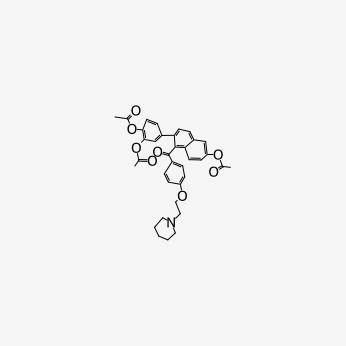 CC(=O)Oc1ccc2c(C(=O)c3ccc(OCCN4CCCCC4)cc3)c(-c3ccc(OC(C)=O)c(OC(C)=O)c3)ccc2c1